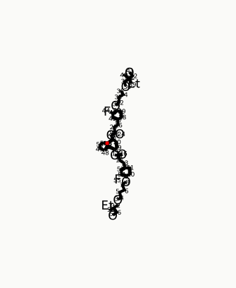 CCC1(COCCCCOc2ccc(CCC(=O)Oc3ccc(OC(=O)CCc4ccc(OCCCCOCC5(CC)COC5)c(F)c4)c4c3C3CCC4C3)cc2F)COC1